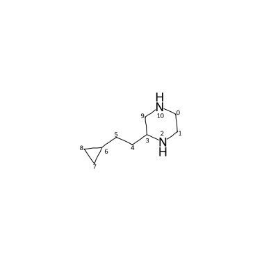 C1CNC(CCC2CC2)CN1